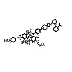 CO[C@H](C)COc1nc2[nH]cc(F)c2cc1Oc1cc(N2CCC3(CC2)CN([C@H]2CCC[C@H]2c2ccccc2C(C)C)C3)ccc1C(=O)NS(=O)(=O)c1ccc(NC[C@H]2CC[C@](C)(O)CC2)c([N+](=O)[O-])c1